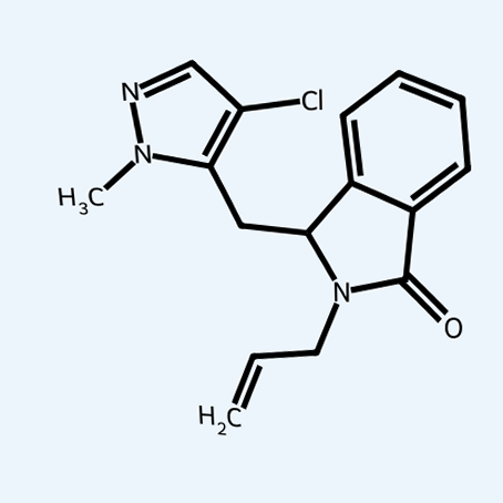 C=CCN1C(=O)c2ccccc2C1Cc1c(Cl)cnn1C